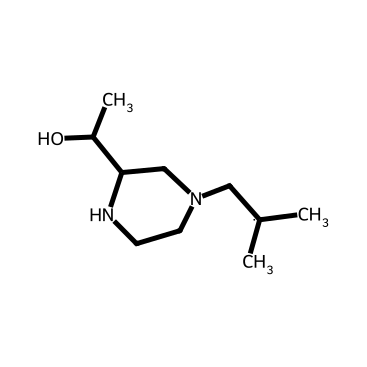 C[C](C)CN1CCNC(C(C)O)C1